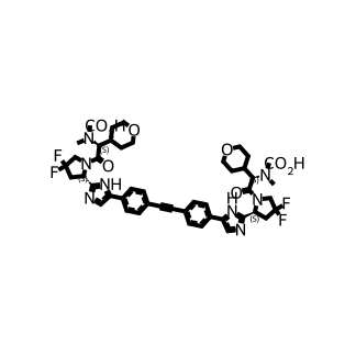 CN(C(=O)O)[C@H](C(=O)N1CC(F)(F)C[C@H]1c1ncc(-c2ccc(C#Cc3ccc(-c4cnc([C@@H]5CC(F)(F)CN5C(=O)[C@H](C5CCOCC5)N(C)C(=O)O)[nH]4)cc3)cc2)[nH]1)C1CCOCC1